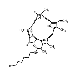 C=Cc1c2[nH]c(c1C)C=C1N=C(C3=C4NC(C=c5[nH]c(c(C)c5CC)=C2)C(C)=C4C(=O)C3)C(C(C)C(=O)NCCCCCCO)C1C